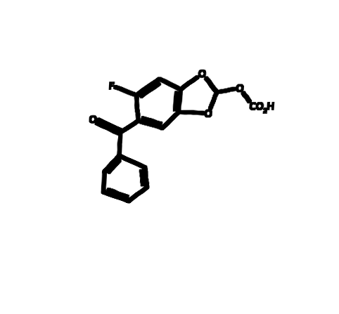 O=C(O)OC1Oc2cc(F)c(C(=O)c3ccccc3)cc2O1